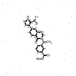 CNC(=O)c1cccc(C(C)n2cnc3cc(-c4cn[nH]c4C(F)F)ccc3c2=O)c1